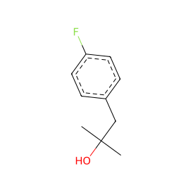 CC(C)(O)Cc1ccc(F)cc1